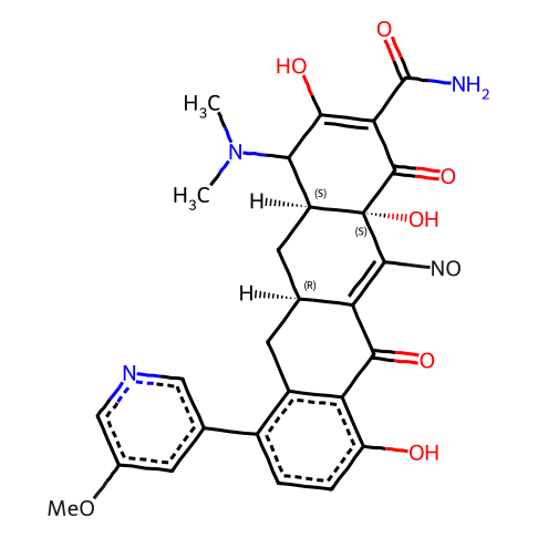 COc1cncc(-c2ccc(O)c3c2C[C@H]2C[C@H]4C(N(C)C)C(O)=C(C(N)=O)C(=O)[C@@]4(O)C(N=O)=C2C3=O)c1